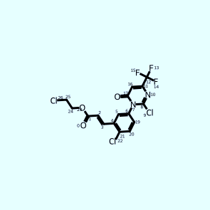 O=C(C=Cc1cc(-n2c(Cl)nc(C(F)(F)F)cc2=O)ccc1Cl)OCCCl